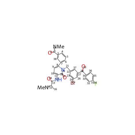 CNC(=O)c1cccc(-c2ccc(NC(=O)C(C)NC)c(=O)n2Cc2cc(Br)cc(C(=O)c3ccc(F)cc3)c2)c1